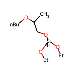 CCCCOC(C)CO[SiH](OCC)OCC